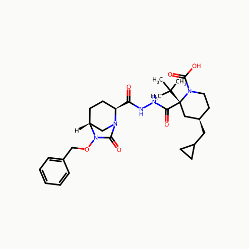 CC(C)(C)[C@]1(C(=O)NNC(=O)[C@@H]2CC[C@@H]3CN2C(=O)N3OCc2ccccc2)C[C@H](CC2CC2)CCN1C(=O)O